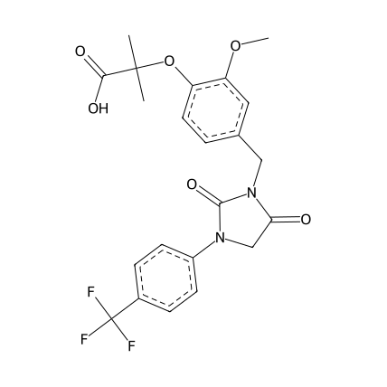 COc1cc(CN2C(=O)CN(c3ccc(C(F)(F)F)cc3)C2=O)ccc1OC(C)(C)C(=O)O